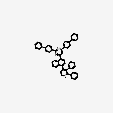 C1=CC(c2c(-c3ccc(-c4cc(-c5ccc(-c6ccccc6)cc5)nc(C5=CCC(c6ccccc6)C=C5)n4)c4ccccc34)ccnc2-c2ccccc2)=CCC1